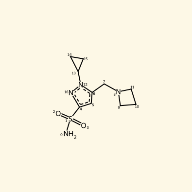 NS(=O)(=O)c1cc(CN2CCC2)n(C2CC2)n1